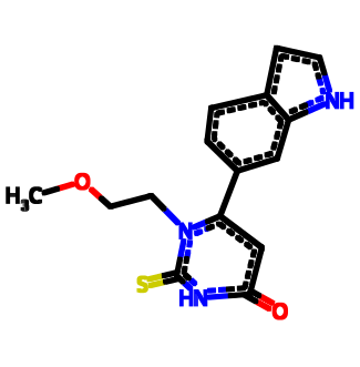 COCCn1c(-c2ccc3cc[nH]c3c2)cc(=O)[nH]c1=S